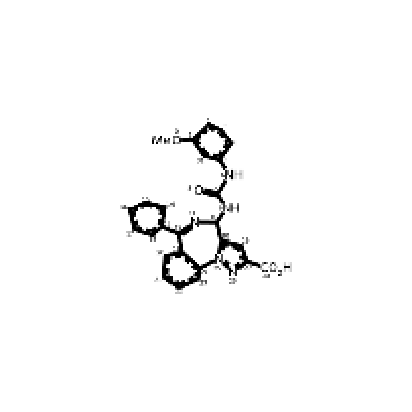 COc1cccc(NC(=O)NC2N=C(c3ccccc3)c3ccccc3-n3nc(C(=O)O)cc32)c1